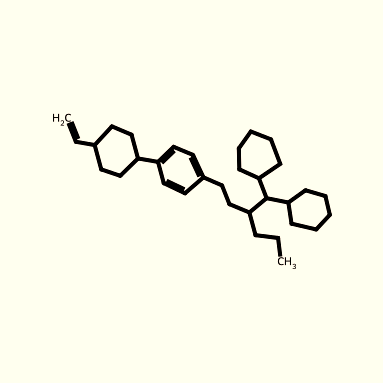 C=CC1CCC(c2ccc(CCC(CCC)C(C3CCCCC3)C3CCCCC3)cc2)CC1